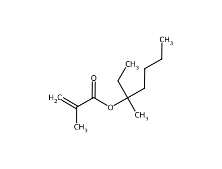 C=C(C)C(=O)OC(C)(CC)CCCC